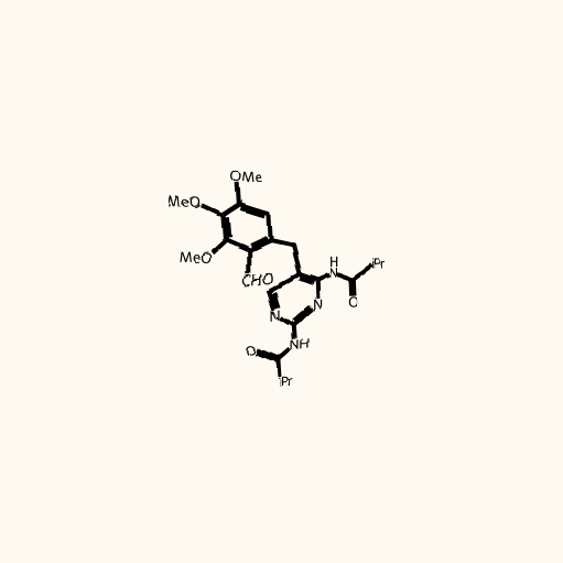 COc1cc(Cc2cnc(NC(=O)C(C)C)nc2NC(=O)C(C)C)c(C=O)c(OC)c1OC